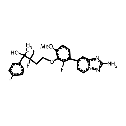 COc1ccc(-c2ccn3nc(N)nc3c2)c(F)c1OCCC(F)(F)C(C)(O)c1ccc(F)cc1